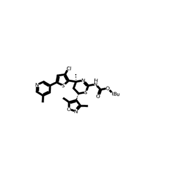 Cc1cncc(-c2cc(Cl)c([C@]3(C)C[C@@H](c4c(C)noc4C)SC(NC(=O)OC(C)(C)C)=N3)s2)c1